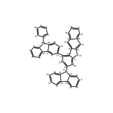 c1ccc(-n2c3ccccc3c3cc(-c4nc(-n5c6ccccc6c6ccccc65)nc5sc6cc7ccccc7cc6c45)ccc32)cc1